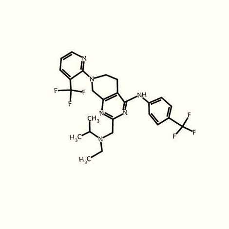 CCN(Cc1nc2c(c(Nc3ccc(C(F)(F)F)cc3)n1)CCN(c1ncccc1C(F)(F)F)C2)C(C)C